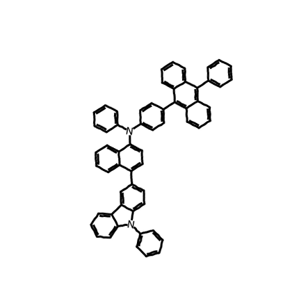 c1ccc(-c2c3ccccc3c(-c3ccc(N(c4ccccc4)c4ccc(-c5ccc6c(c5)c5ccccc5n6-c5ccccc5)c5ccccc45)cc3)c3ccccc23)cc1